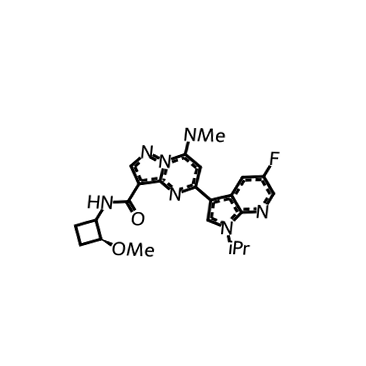 CNc1cc(-c2cn(C(C)C)c3ncc(F)cc23)nc2c(C(=O)NC3CC[C@@H]3OC)cnn12